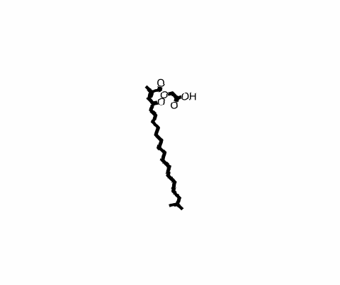 CC(=CC(=O)CCCCCCCCCCCCCCC(C)C)C(=O)OCC(=O)O